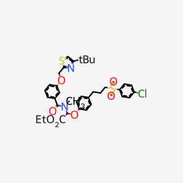 CCOC(=O)C(Oc1ccc(CCCS(=O)(=O)c2ccc(Cl)cc2)cc1)N(C)C(=O)c1cccc(OCc2nc(C(C)(C)C)cs2)c1